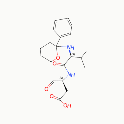 CC(C)[C@H](NC1(c2ccccc2)CCCCO1)C(=O)N[C@H](C=O)CC(=O)O